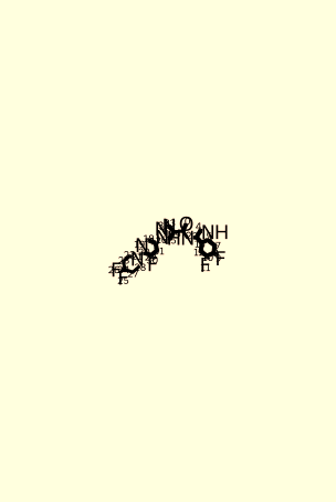 O=C(Nc1c[nH]c2cc(F)c(F)cc12)c1cn(-c2cnc(N3CCC(F)(F)CC3)c(F)c2)nn1